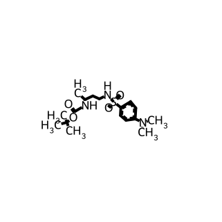 CC(CCNS(=O)(=O)c1ccc(N(C)C)cc1)NC(=O)OC(C)(C)C